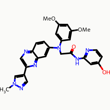 COc1cc(OC)cc(N(CC(=O)Nc2cc(O)ccn2)c2ccc3ncc(-c4cnn(C)c4)nc3c2)c1